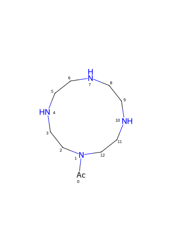 CC(=O)N1CCNCCNCCNCC1